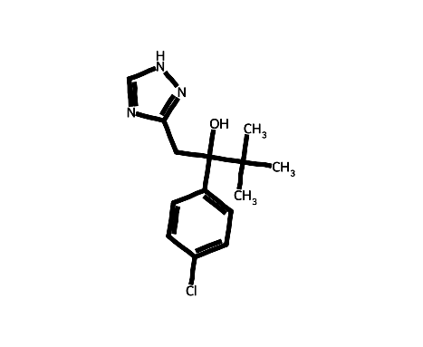 CC(C)(C)C(O)(Cc1nc[nH]n1)c1ccc(Cl)cc1